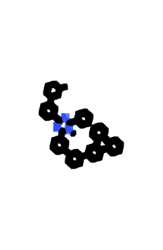 CC1C=C(c2cccc(C3=NC(c4cccc(-c5cccc(-c6ccc7c8ccccc8c8ccccc8c7c6)c5)c4)N(C)C(c4ccccc4)=N3)c2)C=CC1